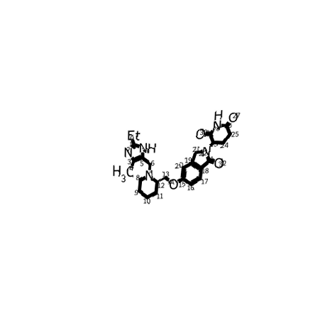 CCc1nc(C)c(CN2CCCC[C@@H]2COc2ccc3c(c2)CN(C2CCC(=O)NC2=O)C3=O)[nH]1